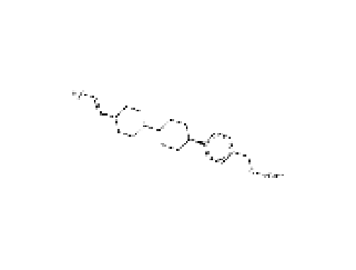 CC=C[C@H]1CC[C@H]([C@H]2CC[C@H](c3ccc(COCCCCC)cc3)CC2)CC1